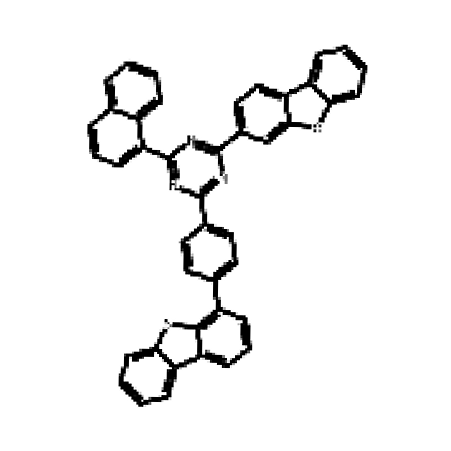 c1ccc2c(-c3nc(-c4ccc(-c5cccc6c5sc5ccccc56)cc4)nc(-c4ccc5c(c4)oc4ccccc45)n3)cccc2c1